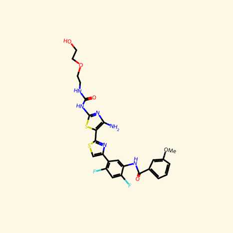 COc1cccc(C(=O)Nc2cc(-c3csc(-c4sc(NC(=O)NCCOCCO)nc4N)n3)c(F)cc2F)c1